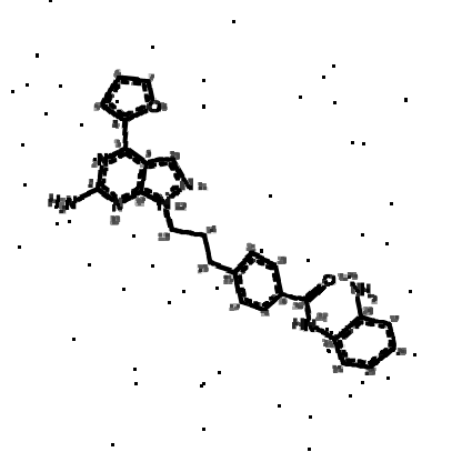 Nc1nc(-c2ccco2)c2cnn(CCCc3ccc(C(=O)Nc4ccccc4N)cc3)c2n1